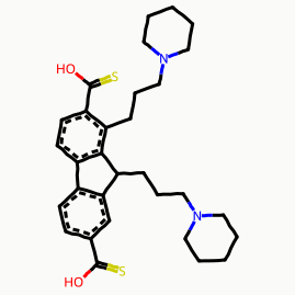 OC(=S)c1ccc2c(c1)C(CCCN1CCCCC1)c1c-2ccc(C(O)=S)c1CCCN1CCCCC1